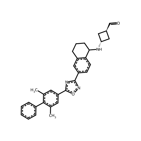 Cc1cc(-c2nc(-c3ccc4c(c3)CCCC4N[C@H]3C[C@H](C=O)C3)no2)cc(C)c1-c1ccccc1